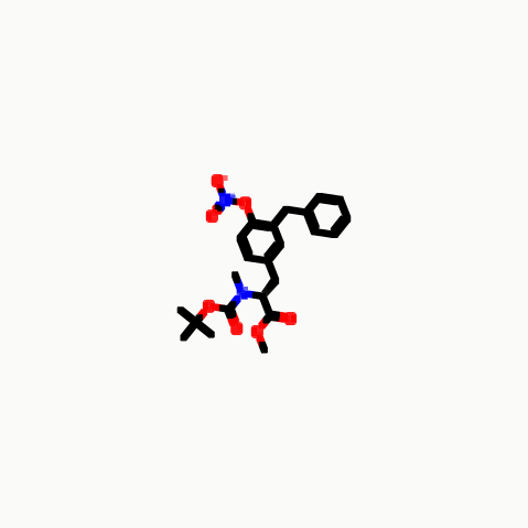 COC(=O)[C@H](Cc1ccc(O[N+](=O)[O-])c(Cc2ccccc2)c1)N(C)C(=O)OC(C)(C)C